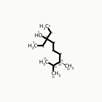 CCC(O)(CC)CCC[C@H](C)C(C)C